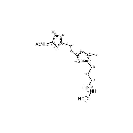 CC(=O)Nc1nc(CCc2cc(C)c(CCCNNC(=O)O)s2)cs1